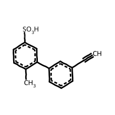 C#Cc1cccc(-c2cc(S(=O)(=O)O)ccc2C)c1